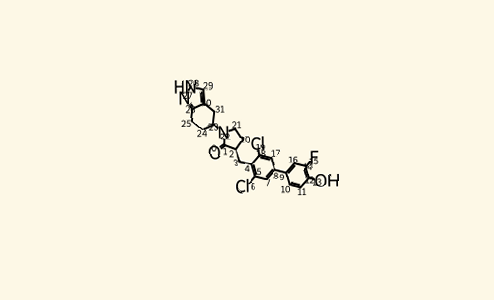 O=C1[C@H](Cc2c(Cl)cc(-c3ccc(O)c(F)c3)cc2Cl)CCN1[C@H]1CCc2n[nH]cc2C1